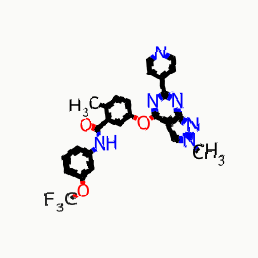 Cc1ccc(Oc2nc(-c3ccncc3)nc3nn(C)cc23)cc1C(=O)Nc1cccc(OC(F)(F)F)c1